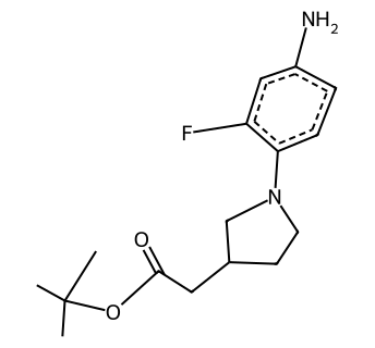 CC(C)(C)OC(=O)CC1CCN(c2ccc(N)cc2F)C1